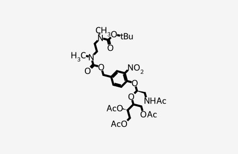 CC(=O)NC[C@H](Oc1ccc(COC(=O)N(C)CCN(C)C(=O)OC(C)(C)C)cc1[N+](=O)[O-])OC(COC(C)=O)[C@H](COC(C)=O)OC(C)=O